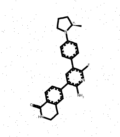 C[C@@H]1CCCN1c1ccc(-c2cc(-c3ccc4c(c3)CCNC4=O)c(N)nc2F)cc1